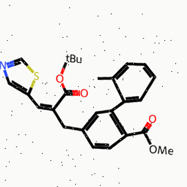 COC(=O)c1ccc(C/C(=C/c2cncs2)C(=O)OC(C)(C)C)cc1-c1ccccc1C